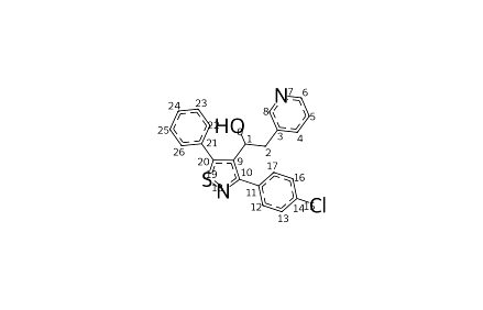 OC(Cc1cccnc1)c1c(-c2ccc(Cl)cc2)nsc1-c1ccccc1